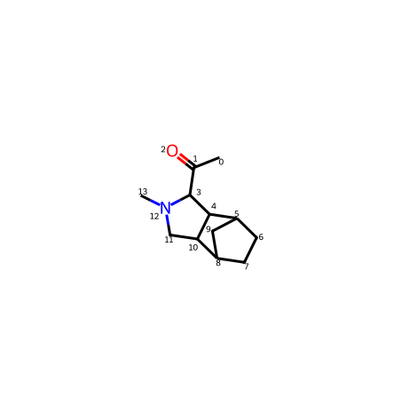 CC(=O)C1C2C3CCC(C3)C2CN1C